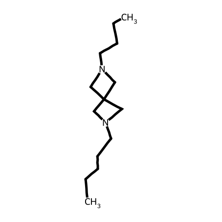 CCCCCN1CC2(CN(CCCC)C2)C1